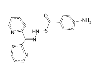 Nc1ccc(C(=O)SNN=C(c2ccccn2)c2ccccn2)cc1